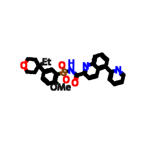 CCC1(c2ccc(OC)c(S(=O)(=O)NC(=O)c3ccc4c(-c5ccccn5)cccc4n3)c2)CCOCC1